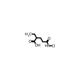 CCC(CCC(=O)NCl)C(=O)O